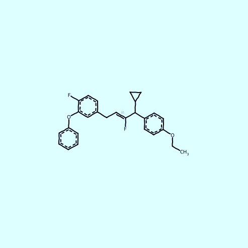 CCOc1ccc(C(/C(F)=C/Cc2ccc(F)c(Oc3ccccc3)c2)C2CC2)cc1